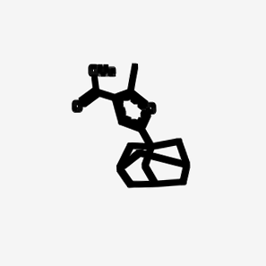 COC(=O)c1cc(C23CC4CC(CC(C4)C2)C3)oc1C